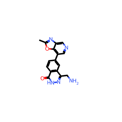 Cc1nc2cncc(-c3ccc4c(=O)[nH]nc(CN)c4c3)c2o1